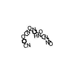 N#Cc1ccc(OC2CCN(C(=O)c3ccc(C(=O)NC4CCN(Cc5cocn5)CC4)cn3)CC2)cc1